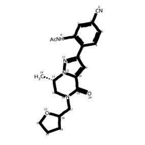 CC(=O)Nc1cc(C#N)ccc1-c1cc2n(n1)[C@@H](C)CN(CC1CCCO1)C2=O